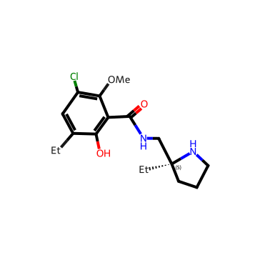 CCc1cc(Cl)c(OC)c(C(=O)NC[C@]2(CC)CCCN2)c1O